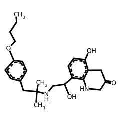 CCCCOc1ccc(CC(C)(C)NCC(O)c2ccc(O)c3c2NCC(=O)C3)cc1